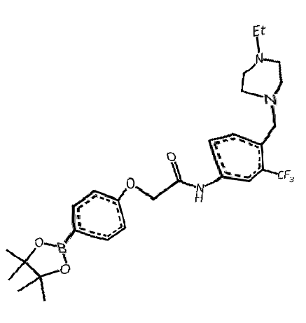 CCN1CCN(Cc2ccc(NC(=O)COc3ccc(B4OC(C)(C)C(C)(C)O4)cc3)cc2C(F)(F)F)CC1